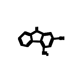 Nc1cc(O)cc2[nH]c3ccccc3c12